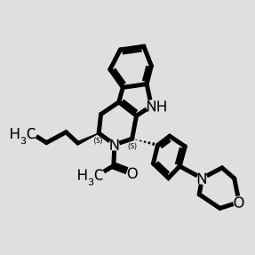 CCCC[C@H]1Cc2c([nH]c3ccccc23)[C@H](c2ccc(N3CCOCC3)cc2)N1C(C)=O